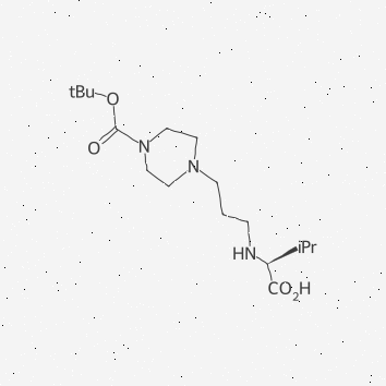 CC(C)[C@H](NCCCN1CCN(C(=O)OC(C)(C)C)CC1)C(=O)O